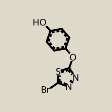 Oc1ccc(Oc2nnc(Br)s2)cc1